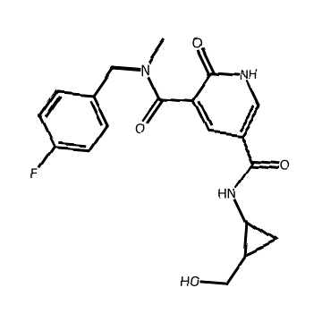 CN(Cc1ccc(F)cc1)C(=O)c1cc(C(=O)NC2CC2CO)c[nH]c1=O